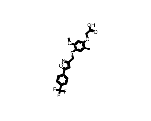 COc1cc(OCC(=O)O)c(C)cc1SCc1cc(-c2ccc(C(F)(F)F)cc2)on1